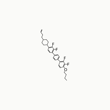 C=CCCC1CCC(c2ccc(-c3ccc(-c4ccc(OCCCC)c(F)c4F)cc3)c(F)c2F)CC1